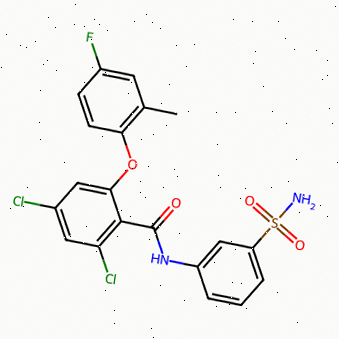 Cc1cc(F)ccc1Oc1cc(Cl)cc(Cl)c1C(=O)Nc1cccc(S(N)(=O)=O)c1